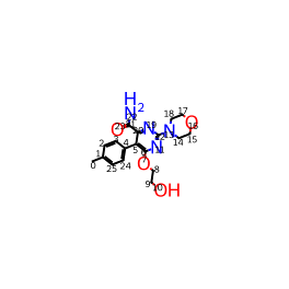 Cc1ccc(-c2c(OCCO)nc(N3CCOCC3)nc2C(N)=O)cc1